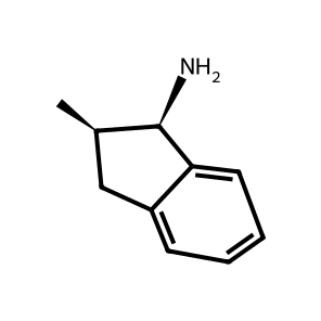 C[C@@H]1Cc2ccccc2[C@@H]1N